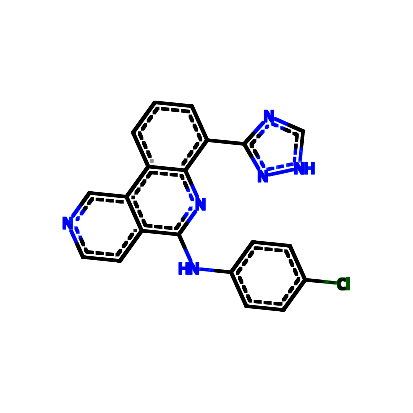 Clc1ccc(Nc2nc3c(-c4nc[nH]n4)cccc3c3cnccc23)cc1